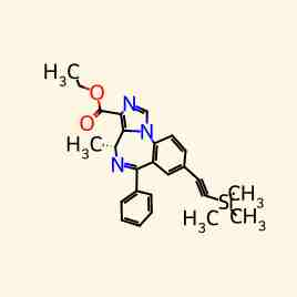 CCOC(=O)c1ncn2c1[C@@H](C)N=C(c1ccccc1)c1cc(C#C[Si](C)(C)C)ccc1-2